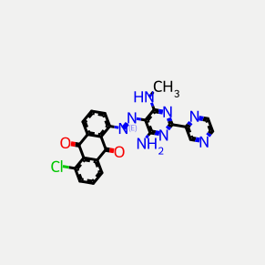 CNc1nc(-c2cnccn2)nc(N)c1/N=N/c1cccc2c1C(=O)c1cccc(Cl)c1C2=O